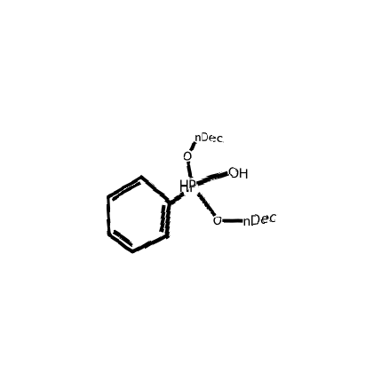 CCCCCCCCCCO[PH](O)(OCCCCCCCCCC)c1ccccc1